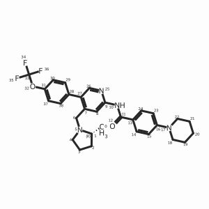 C[C@@H]1CCCN1Cc1cc(NC(=O)c2ccc(N3CCCCC3)cc2)ncc1-c1ccc(OC(F)(F)F)cc1